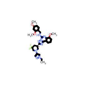 CCn1cc(N2C[C@H](c3nc4c5cccc(OC)c5nc(NCc5ccc(OC)cc5OC)n4n3)CC(F)(F)C2)cn1